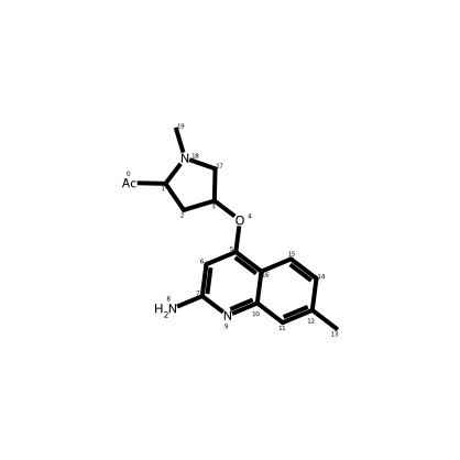 CC(=O)C1CC(Oc2cc(N)nc3cc(C)ccc23)CN1C